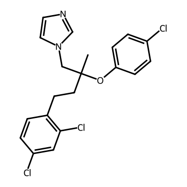 CC(CCc1ccc(Cl)cc1Cl)(Cn1ccnc1)Oc1ccc(Cl)cc1